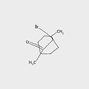 CC12CCC(C)(CC1)C(Br)C2=O